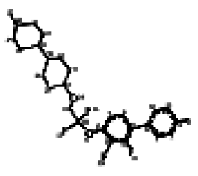 Cc1ccc(-c2ccc(OC(F)(F)COC3CCC(C4CCC(C)CC4)CC3)c(F)c2F)cc1